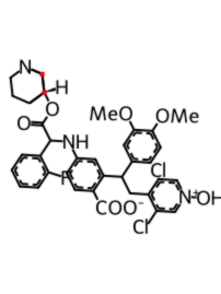 COc1ccc(C(Cc2c(Cl)c[n+](O)cc2Cl)c2cc(NC(C(=O)O[C@H]3CN4CCC3CC4)c3ccccc3F)ccc2C(=O)[O-])cc1OC